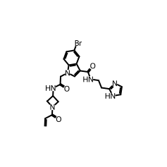 C=CC(=O)N1CC(NC(=O)Cn2cc(C(=O)NCCc3ncc[nH]3)c3cc(Br)ccc32)C1